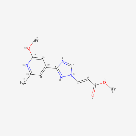 CC(C)OC(=O)/C=C/n1cnc(-c2cc(OC(C)C)nc(C(F)(F)F)c2)n1